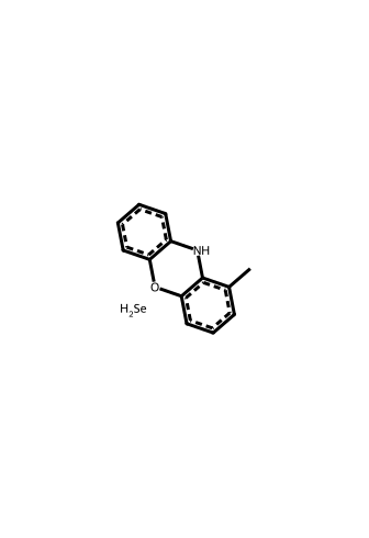 Cc1cccc2c1Nc1ccccc1O2.[SeH2]